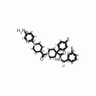 C[C@H](NC(=O)C1(c2ccc(F)cc2)CCN(C(=O)C2CCN(c3ccc(N)cn3)CC2)CC1)c1cccc(F)c1